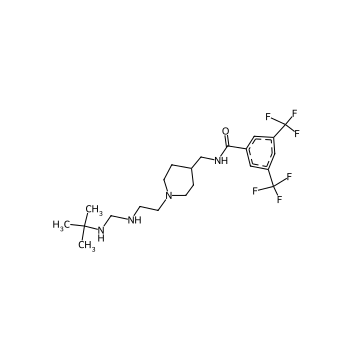 CC(C)(C)NCNCCN1CCC(CNC(=O)c2cc(C(F)(F)F)cc(C(F)(F)F)c2)CC1